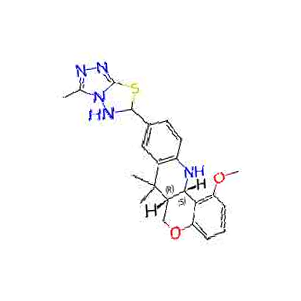 COc1cccc2c1[C@H]1Nc3ccc(C4Nn5c(C)nnc5S4)cc3C(C)(C)[C@H]1CO2